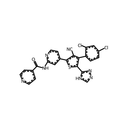 N#Cc1c(-c2ccnc(NC(=O)c3ccncc3)c2)sc(-c2nnc[nH]2)c1-c1ccc(Cl)cc1Cl